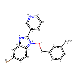 COc1cccc(COn2c(-c3cccnc3)nc3cc(Br)ccc32)c1